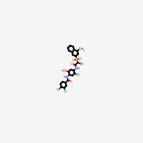 CCC(C(=O)Nc1cc(O)c(NC(=O)c2ccc(Cl)c(Cl)c2)cc1Cl)S(=O)(=O)c1cc(C)c2ccccc2c1